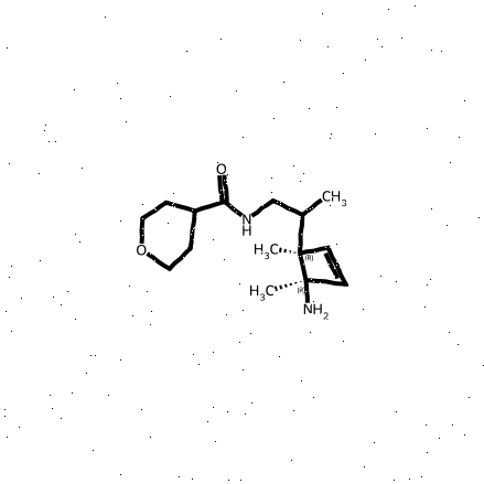 CC(CNC(=O)C1CCOCC1)[C@@]1(C)C=C[C@@]1(C)N